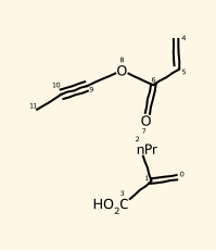 C=C(CCC)C(=O)O.C=CC(=O)OC#CC